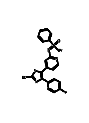 CCc1nc(-c2ccc(F)cc2)c(-c2ccnc(N=S(=O)(c3ccccc3)C(C)C)c2)s1